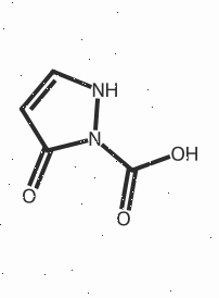 O=C(O)n1[nH]ccc1=O